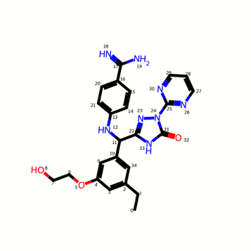 CCc1cc(OCCO)cc(C(Nc2ccc(C(=N)N)cc2)c2nn(-c3ncccn3)c(=O)[nH]2)c1